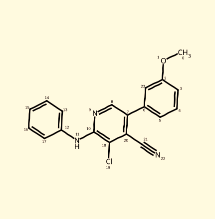 COc1cccc(-c2cnc(Nc3ccccc3)c(Cl)c2C#N)c1